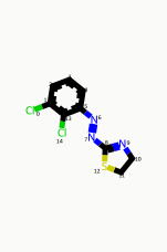 Clc1cccc(/N=N/C2=NCCS2)c1Cl